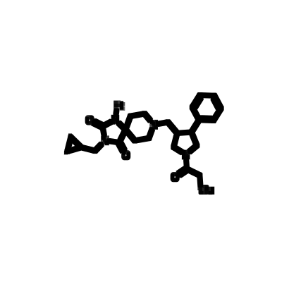 CCN1C(=O)N(CC2CC2)C(=O)C12CCN(CC1CN(C(=O)CC(C)(C)C)CC1c1ccccc1)CC2